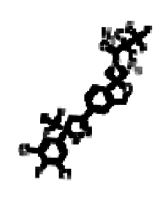 CC(C)(C(=O)N1CC2(C1)OCc1cc(C3=NS[C@@](c4cc(Cl)c(F)c(Cl)c4)(C(F)(F)F)C3)ccc12)C(F)(F)F